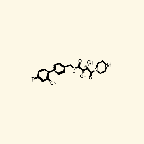 N#Cc1cc(F)ccc1-c1ccc(CNC(=O)[C@H](O)[C@@H](O)C(=O)N2CCNCC2)cc1